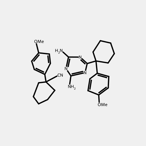 COc1ccc(C2(C#N)CCCCC2)cc1.COc1ccc(C2(c3nc(N)nc(N)n3)CCCCC2)cc1